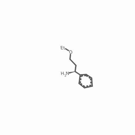 CCOCC[C@H](N)c1ccccc1